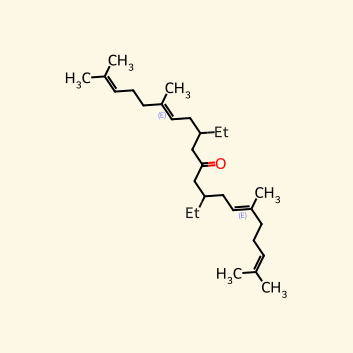 CCC(C/C=C(\C)CCC=C(C)C)CC(=O)CC(CC)C/C=C(\C)CCC=C(C)C